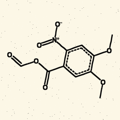 COc1cc(C(=O)OC=O)c([N+](=O)[O-])cc1OC